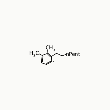 CCCCCCCc1[c]ccc(C)c1C